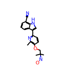 Cc1nc(-c2c[nH]c3c(C#N)cccc23)ccc1OCC(C)(C)N=O